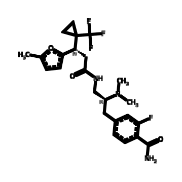 Cc1ccc([C@@H](CC(=O)NC[C@H](Cc2ccc(C(N)=O)c(F)c2)N(C)C)C2(C(F)(F)F)CC2)o1